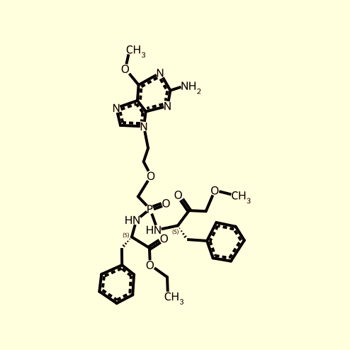 CCOC(=O)[C@H](Cc1ccccc1)NP(=O)(COCCn1cnc2c(OC)nc(N)nc21)N[C@@H](Cc1ccccc1)C(=O)COC